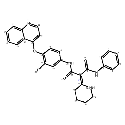 O=C(Nc1ccccc1)/C(C(=O)Nc1ccc(Oc2ccnc3ccccc23)c(F)c1)=C1/CCCCN1